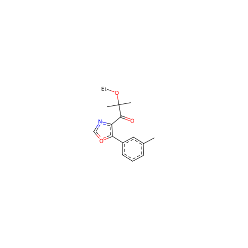 CCOC(C)(C)C(=O)c1ncoc1-c1cccc(C)c1